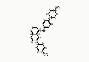 CC(C)N1CCN(c2ccc(Nc3ccnc4ccc(-c5ccc(C#N)cc5)cc34)cc2)CC1